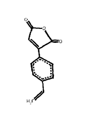 C=Cc1ccc(C2=CC(=O)OC2=O)cc1